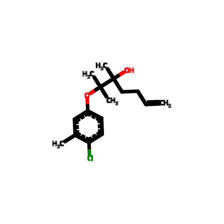 C=CCCC(C)(O)C(C)(C)Oc1ccc(Cl)c(C)c1